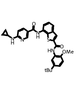 COc1ccc(C(C)(C)C)cc1NC(=O)c1cc2cccc(NC(=O)c3ccc(NC4CC4)nc3)c2s1